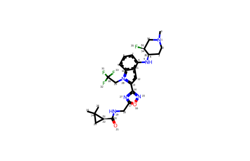 CN1CC[C@@H](Nc2cccc3c2cc(-c2noc(CNC(=O)[C@H]4CC4(C)C)n2)n3CC(F)(F)F)[C@@H](F)C1